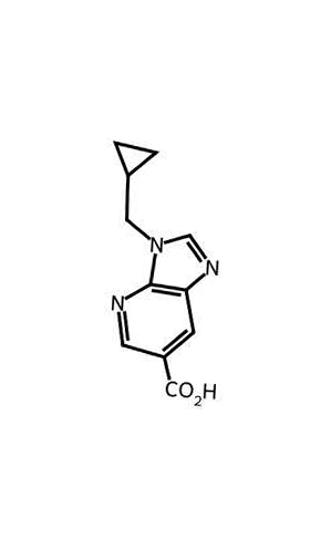 O=C(O)c1cnc2c(c1)ncn2CC1CC1